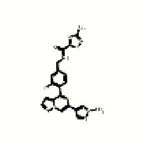 Cn1cc(-c2cn3nccc3c(-c3ccc(CNC(=O)c4nc(C(C)(C)C)no4)cc3F)n2)cn1